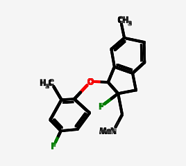 CNCC1(F)Cc2ccc(C)cc2C1Oc1ccc(F)cc1C